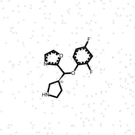 Fc1ccc(OC(c2ncco2)[C@H]2CCNC2)c(F)c1